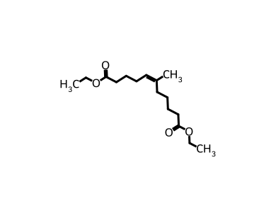 CCOC(=O)CCCC=C(C)CCCCC(=O)OCC